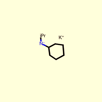 CC(C)[N-]C1CCCCC1.[K+]